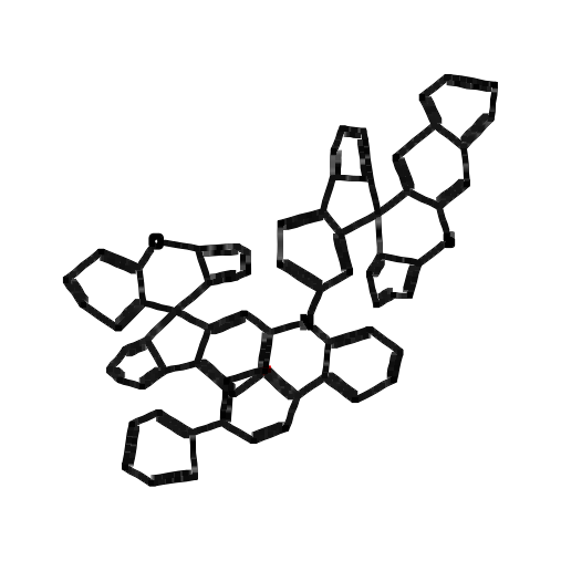 c1ccc(-c2ccc(-c3ccccc3N(c3ccc4c(c3)C3(c5ccccc5Oc5ccccc53)c3ccccc3-4)c3ccc4c(c3)C3(c5ccccc5Sc5cc6ccccc6cc53)c3ccccc3-4)cc2)cc1